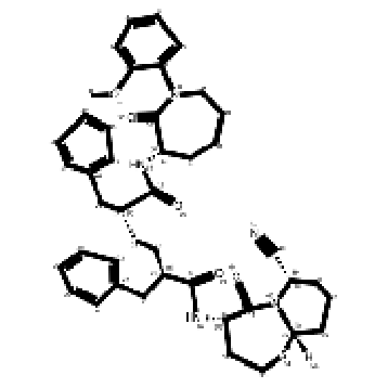 COc1ccccc1N1CCCC[C@H](NC(=O)[C@H](CC[C@H](Cc2ccccc2)C(=O)N[C@H]2CCS[C@H]3CCC[C@@H](C#N)N3C2=O)Cc2ccccc2)C1=O